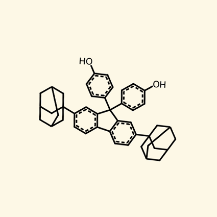 Oc1ccc(C2(c3ccc(O)cc3)c3cc(C45CC6CC(CC(C6)C4)C5)ccc3-c3ccc(C45CC6CC(CC(C6)C4)C5)cc32)cc1